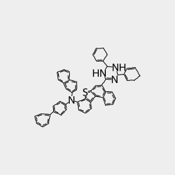 C1=CCCC(C2NC(c3cc4sc5c(N(c6ccc(-c7ccccc7)cc6)c6ccc7ccccc7c6)cccc5c4c4ccccc34)=NC(C3=CCCC=C3)N2)=C1